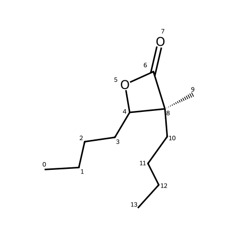 CCCCC1OC(=O)[C@@]1(C)CCCC